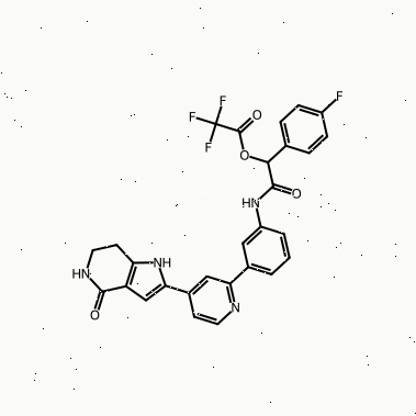 O=C1NCCc2[nH]c(-c3ccnc(-c4cccc(NC(=O)C(OC(=O)C(F)(F)F)c5ccc(F)cc5)c4)c3)cc21